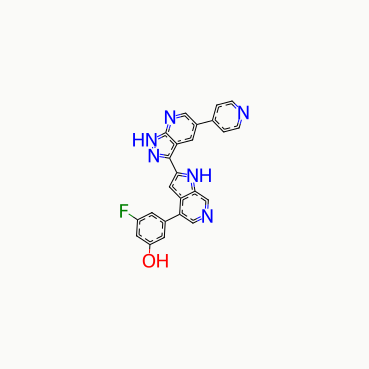 Oc1cc(F)cc(-c2cncc3[nH]c(-c4n[nH]c5ncc(-c6ccncc6)cc45)cc23)c1